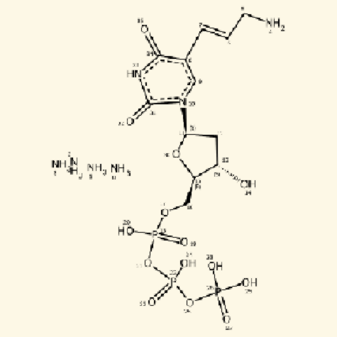 N.N.N.N.NCC=Cc1cn([C@H]2C[C@H](O)[C@@H](COP(=O)(O)OP(=O)(O)OP(=O)(O)O)O2)c(=O)[nH]c1=O